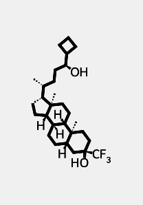 C[C@H](CC[C@H](O)C1CCC1)[C@H]1CC[C@H]2[C@@H]3CC[C@H]4C[C@](O)(C(F)(F)F)CC[C@]4(C)[C@H]3CC[C@]12C